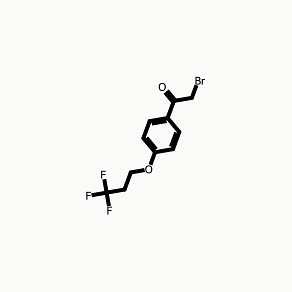 O=C(CBr)c1ccc(OCCC(F)(F)F)cc1